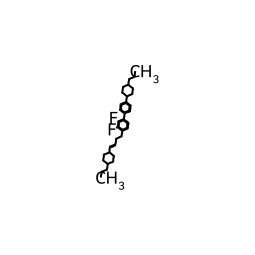 CCCC1CCC(/C=C/CCc2ccc(-c3ccc(C4CCC(CCC)CC4)cc3)c(F)c2F)CC1